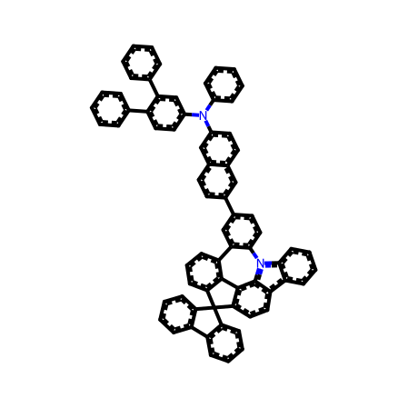 c1ccc(-c2ccc(N(c3ccccc3)c3ccc4cc(-c5ccc6c(c5)-c5cccc7c5-c5c(ccc8c9ccccc9n-6c58)C75c6ccccc6-c6ccccc65)ccc4c3)cc2-c2ccccc2)cc1